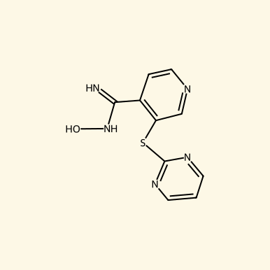 N=C(NO)c1ccncc1Sc1ncccn1